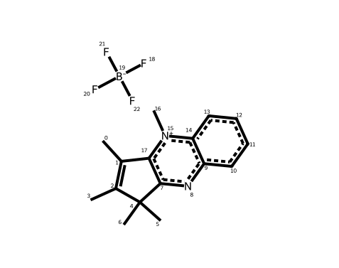 CC1=C(C)C(C)(C)c2nc3ccccc3[n+](C)c21.F[B-](F)(F)F